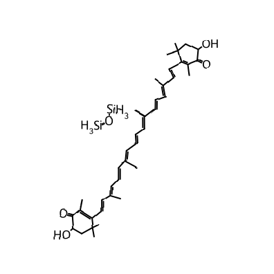 CC1=C(/C=C/C(C)=C/C=C/C(C)=C/C=C/C=C(C)/C=C/C=C(C)/C=C/C2=C(C)C(=O)C(O)CC2(C)C)C(C)(C)CC(O)C1=O.[SiH3]O[SiH3]